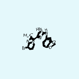 Br.Cc1nc2c(Br)cccn2c1-c1csc(Nc2ccc3c(c2)OCO3)n1